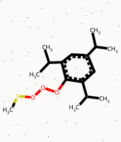 CSOOOc1c(C(C)C)cc(C(C)C)cc1C(C)C